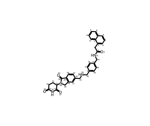 O=C(Cc1cccc2ccccc12)NCc1ccc(CNCc2ccc3c(c2)CN(C2CCC(=O)NC2=O)C3=O)cc1